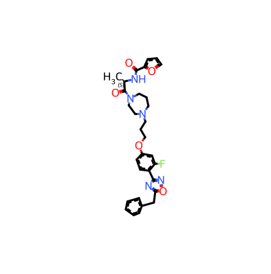 C[C@H](NC(=O)c1ccco1)C(=O)N1CCCN(CCCOc2ccc(-c3noc(Cc4ccccc4)n3)c(F)c2)CC1